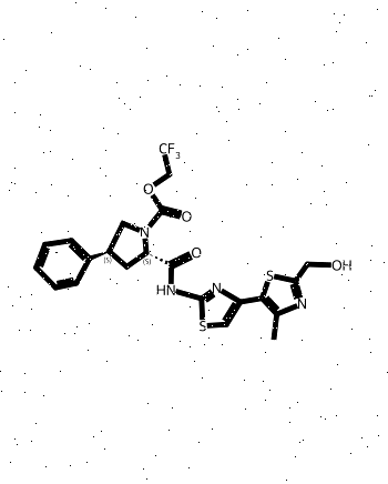 Cc1nc(CO)sc1-c1csc(NC(=O)[C@@H]2C[C@@H](c3ccccc3)CN2C(=O)OCC(F)(F)F)n1